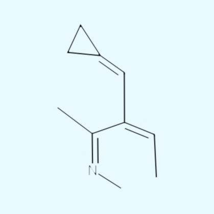 C/C=C(C=C1CC1)\C(C)=N/C